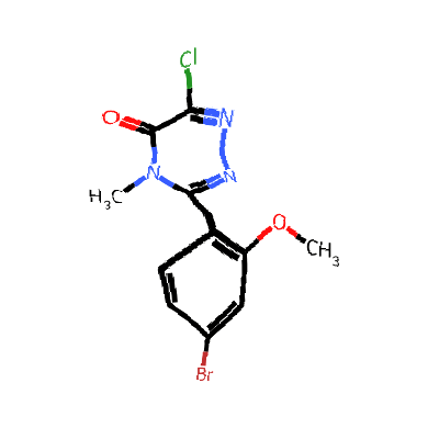 COc1cc(Br)ccc1-c1nnc(Cl)c(=O)n1C